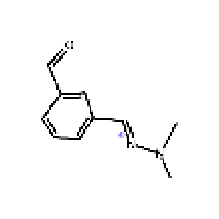 CN(C)/N=C/c1cccc(C=O)c1